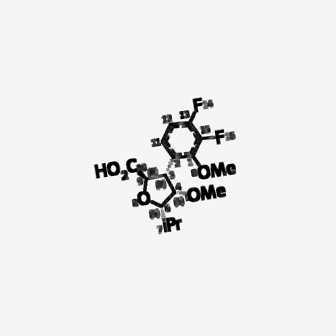 COc1c([C@@H]2[C@H](OC)[C@H](C(C)C)O[C@H]2C(=O)O)ccc(F)c1F